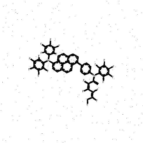 C=C(/C(F)=C(F)\C(F)=C(\F)CF)N(c1ccc(-c2ccc3ccc4c(N(c5c(F)c(F)c(F)c(F)c5F)c5c(F)c(F)c(F)c(F)c5F)ccc5ccc2c3c54)cc1)c1c(F)c(F)c(F)c(F)c1F